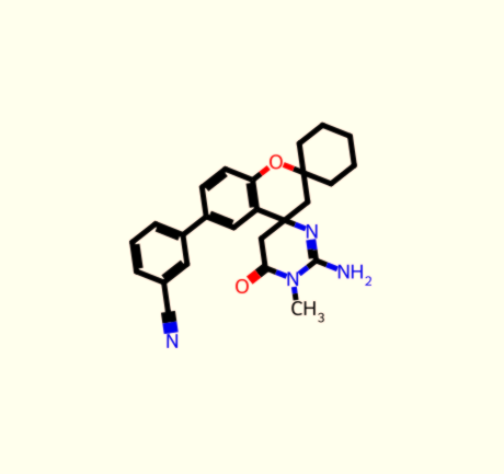 CN1C(=O)CC2(CC3(CCCCC3)Oc3ccc(-c4cccc(C#N)c4)cc32)N=C1N